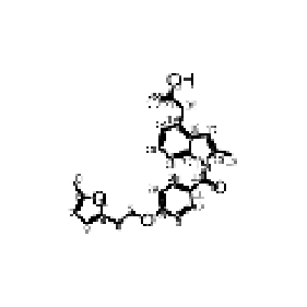 Cc1ccc(CCOc2ccc(C(=O)n3c(C)cc4c(CC(=O)O)cccc43)cc2)o1